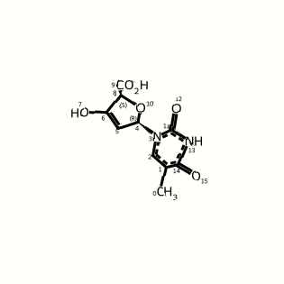 Cc1cn([C@H]2C=C(O)[C@@H](C(=O)O)O2)c(=O)[nH]c1=O